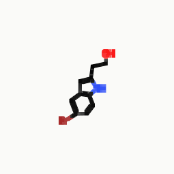 OCCc1cc2cc(Br)ccc2[nH]1